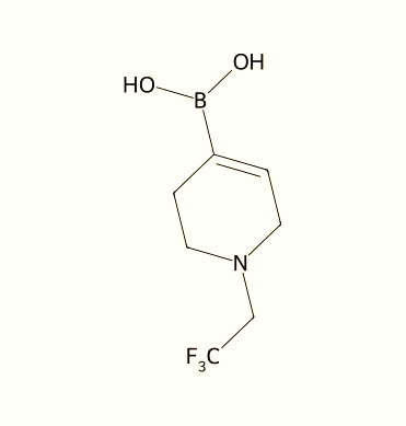 OB(O)C1=CCN(CC(F)(F)F)CC1